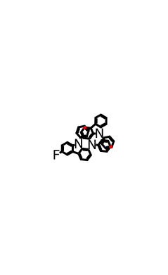 Fc1ccc2c(c1)c1cccc(N(c3ccccc3)c3cccc4c5ccccc5n(-c5ccccc5)c34)c1n2-c1ccccc1